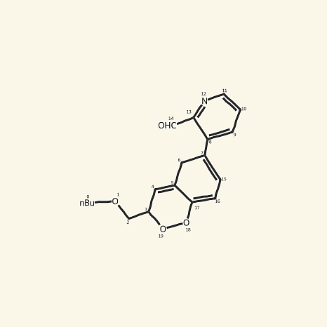 CCCCOCC1C=C2CC(c3cccnc3C=O)=CC=C2OO1